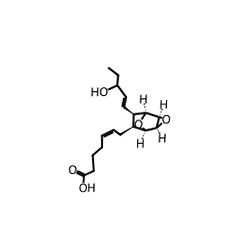 CCC(O)/C=C/[C@@H]1[C@H](C/C=C\CCCC(=O)O)[C@H]2O[C@@H]1[C@H]1O[C@H]12